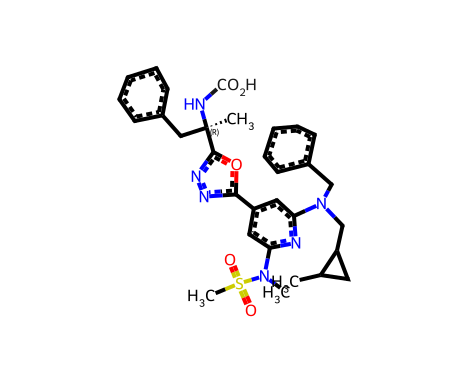 CC1CC1CN(Cc1ccccc1)c1cc(-c2nnc([C@@](C)(Cc3ccccc3)NC(=O)O)o2)cc(N(C)S(C)(=O)=O)n1